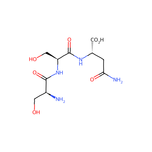 NC(=O)C[C@H](NC(=O)[C@H](CO)NC(=O)[C@@H](N)CO)C(=O)O